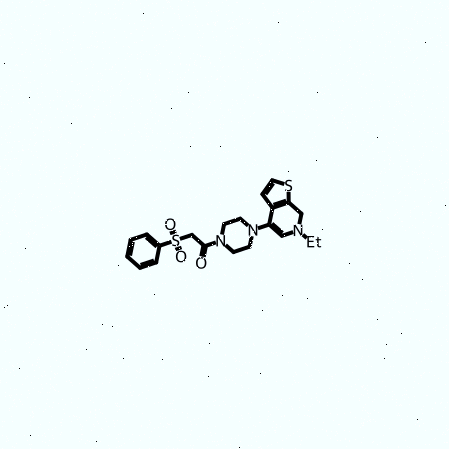 CCN1C=C(N2CCN(C(=O)CS(=O)(=O)c3ccccc3)CC2)c2ccsc2C1